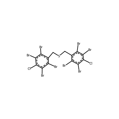 Clc1c(Br)c(Br)c(CSCc2c(Br)c(Br)c(Cl)c(Br)c2Br)c(Br)c1Br